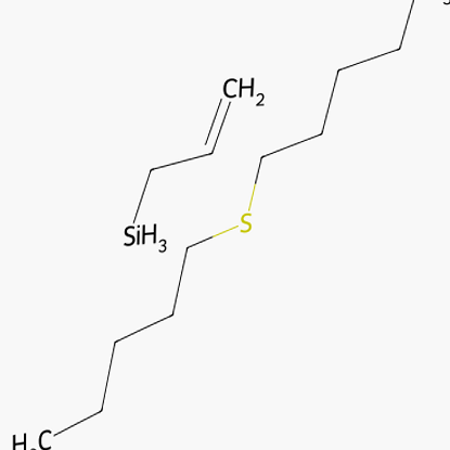 C=CC[SiH3].CCCCCSCCCCC